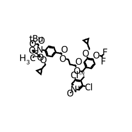 CC(C)(C)OC(=O)N(c1ccc(C(=O)OCCC(=O)O[C@@H](Cc2c(Cl)c[n+]([O-])cc2Cl)c2ccc(OC(F)F)c(OCC3CC3)c2)cc1OCC1CC1)S(C)(=O)=O